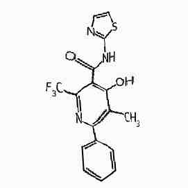 Cc1c(-c2ccccc2)nc(C(F)(F)F)c(C(=O)Nc2nccs2)c1O